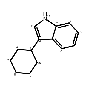 c1ccc2c([C]3CCCCC3)c[nH]c2c1